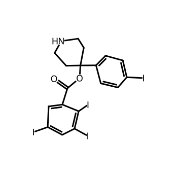 O=C(OC1(c2ccc(I)cc2)CCNCC1)c1cc(I)cc(I)c1I